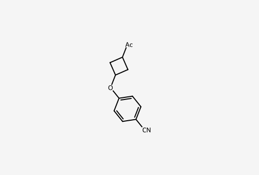 CC(=O)C1CC(Oc2ccc(C#N)cc2)C1